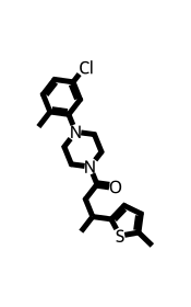 Cc1ccc(C(C)CC(=O)N2CCN(c3cc(Cl)ccc3C)CC2)s1